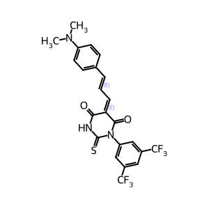 CN(C)c1ccc(/C=C/C=C2\C(=O)NC(=S)N(c3cc(C(F)(F)F)cc(C(F)(F)F)c3)C2=O)cc1